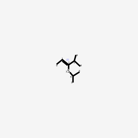 C/C=C(\SC(C)C)C(C)C